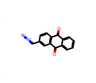 [N-]=[N+]=Cc1ccc2c(c1)C(=O)c1ccccc1C2=O